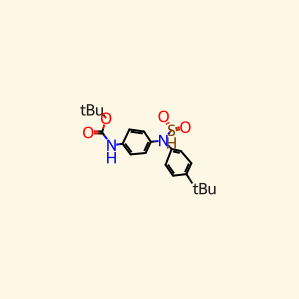 CC(C)(C)OC(=O)Nc1ccc(N(c2ccc(C(C)(C)C)cc2)[SH](=O)=O)cc1